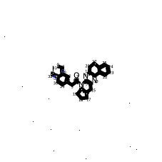 C/C=c1/cc(CC(=O)Nc2nc3c(nc2CC2CCCC2)-c2ccccc2CC3)cc/c1=C/I